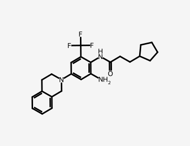 Nc1cc(N2CCc3ccccc3C2)cc(C(F)(F)F)c1NC(=O)CCC1CCCC1